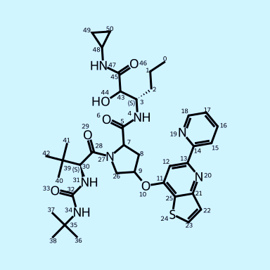 CCC[C@H](NC(=O)C1CC(Oc2cc(-c3ccccn3)nc3ccsc23)CN1C(=O)[C@@H](NC(=O)NC(C)(C)C)C(C)(C)C)C(O)C(=O)NC1CC1